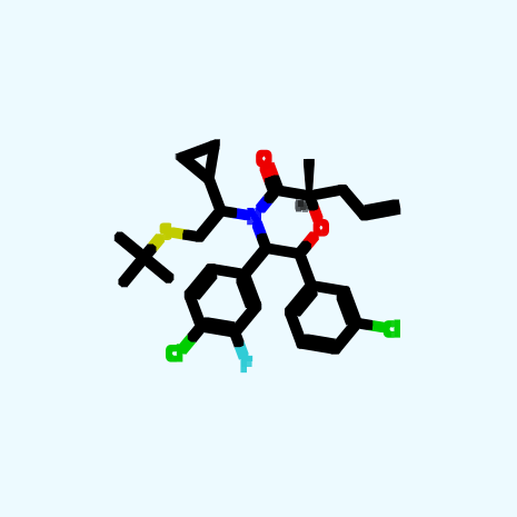 C=CC[C@]1(C)OC(c2cccc(Cl)c2)C(c2ccc(Cl)c(F)c2)N(C(CSC(C)(C)C)C2CC2)C1=O